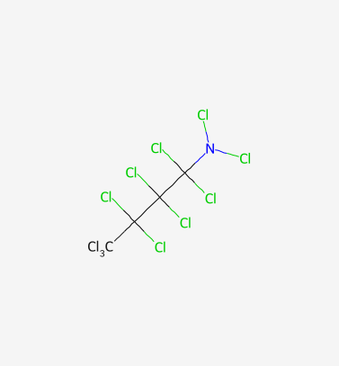 ClN(Cl)C(Cl)(Cl)C(Cl)(Cl)C(Cl)(Cl)C(Cl)(Cl)Cl